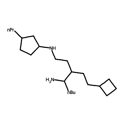 CCCCC(N)C(CCNC1CCC(CCC)C1)CCC1CCC1